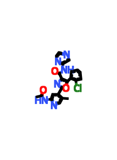 CC(=O)Nc1cc(-c2nc(C(=O)Nc3cnccn3)c(-c3ccccc3Cl)o2)c(C)cn1